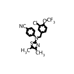 Cc1nc(N(Cc2ccc(OC(F)(F)F)c(Cl)c2)c2ccc(C#N)cc2)sc1C